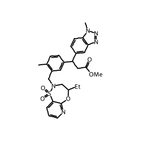 CCC1CN(Cc2cc(C(CC(=O)OC)c3ccc4c(c3)nnn4C)ccc2C)S(=O)(=O)c2cccnc2O1